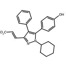 O=C(O)C=Cc1nn(C2CCCCC2)c(-c2ccc(O)cc2)c1-c1ccccc1